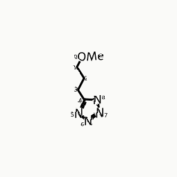 COCCCC1=NN=N[N]1